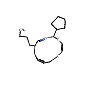 CCCCC1C=NC(C2CCCC2)CC=CCCC=CC1